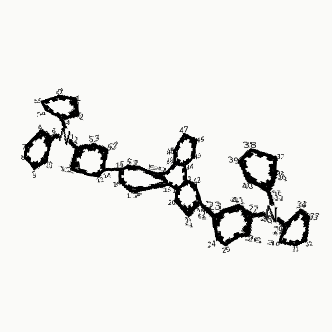 c1ccc(N(c2ccccc2)c2ccc(-c3ccc4c5ccc(-c6cccc(N(c7ccccc7)c7ccccc7)c6)cc5c5ccccc5c4c3)cc2)cc1